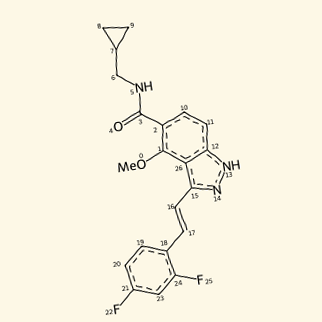 COc1c(C(=O)NCC2CC2)ccc2[nH]nc(C=Cc3ccc(F)cc3F)c12